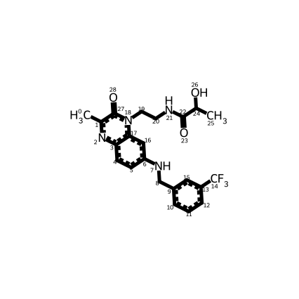 Cc1nc2ccc(NCc3cccc(C(F)(F)F)c3)cc2n(CCNC(=O)C(C)O)c1=O